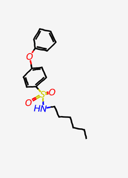 CCCCCCNS(=O)(=O)c1ccc(Oc2ccccc2)cc1